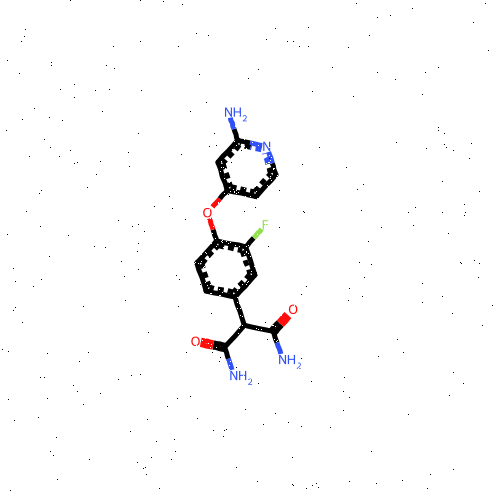 NC(=O)C(C(N)=O)c1ccc(Oc2ccnc(N)c2)c(F)c1